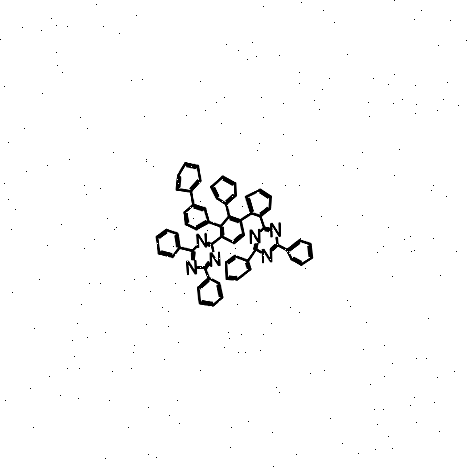 c1ccc(-c2cccc(-c3c(-c4nc(-c5ccccc5)nc(-c5ccccc5)n4)ccc(-c4ccccc4-c4nc(-c5ccccc5)nc(-c5ccccc5)n4)c3-c3ccccc3)c2)cc1